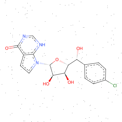 O=c1nc[nH]c2c1ccn2[C@@H]1O[C@H]([C@H](O)c2ccc(Cl)cc2)[C@@H](O)[C@H]1O